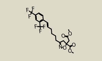 COC(=O)CC1(C(=O)OC)CC(CCCCC=Cc2ccc(C(F)(F)F)cc2C(F)(F)F)=NO1